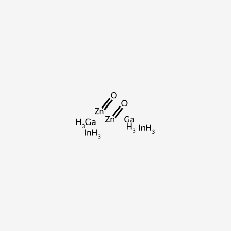 [GaH3].[GaH3].[InH3].[InH3].[O]=[Zn].[O]=[Zn]